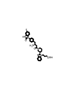 COCCCn1c([C@@H]2CCCN(C(=O)C[C@H](N)Cc3ccc(-n4c(=O)[nH]c5cc(F)ccc54)cc3)C2)nc2ccccc21